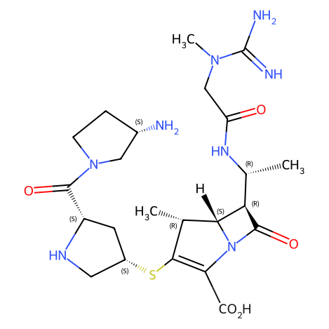 C[C@@H](NC(=O)CN(C)C(=N)N)[C@H]1C(=O)N2C(C(=O)O)=C(S[C@@H]3CN[C@H](C(=O)N4CC[C@H](N)C4)C3)[C@H](C)[C@H]12